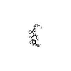 CCOC(=O)c1cnc2c(Br)coc2c1